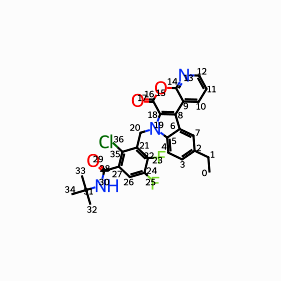 CCc1ccc2c(c1)c1c3cccnc3oc(=O)c1n2Cc1c(F)c(F)cc(C(=O)NC(C)(C)C)c1Cl